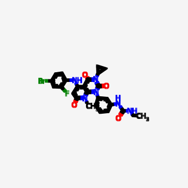 CCNC(=O)Nc1cccc(-n2c(=O)n(C3CC3)c(=O)c3c(Nc4ccc(Br)cc4F)cc(=O)n(C)c32)c1